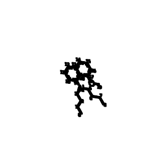 CCC[CH2][Al]([CH2]CCC)[c]1cccc2cccc(OC)c12